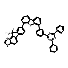 CC1(C)c2cc(-c3cccc4c3sc3c(-c5cccc(-c6nc(-c7ccccc7)nc(-c7ccccc7)n6)c5)cccc34)ccc2-c2ccc3scnc3c21